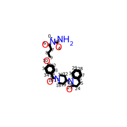 CN(C(N)=O)C(=O)CCCOc1ccc(C(=O)N2CCC(N3C(=O)CCc4ccccc43)CC2)cc1